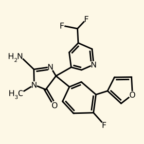 CN1C(=O)C(c2cncc(C(F)F)c2)(c2ccc(F)c(-c3ccoc3)c2)N=C1N